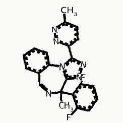 Cc1ccc(-c2nnc3n2-c2ccccc2C=NC3(C)c2c(F)cccc2F)nn1